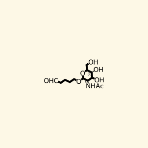 CC(=O)N[C@@H]1C(OCCCCC=O)OC(CO)[C@H](O)C1O